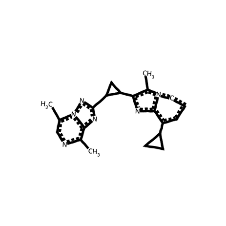 Cc1ncc(C)n2nc(C3CC3c3nc4c(C5CC5)cccn4c3C)nc12